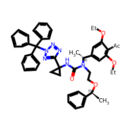 CCOc1cc([C@@H](C)N(CCO[C@@H](C)c2ccccc2)C(=O)NC2(c3nnn(C(c4ccccc4)(c4ccccc4)c4ccccc4)n3)CC2)cc(OCC)c1C(C)=O